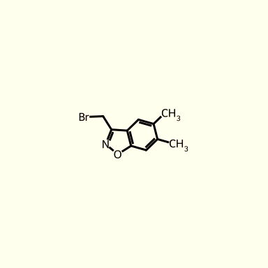 Cc1cc2onc(CBr)c2cc1C